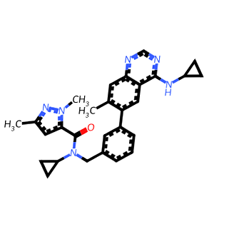 Cc1cc(C(=O)N(Cc2cccc(-c3cc4c(NC5CC5)ncnc4cc3C)c2)C2CC2)n(C)n1